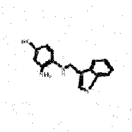 N#Cc1ccc(NCc2csc3ccccc23)c(N)c1